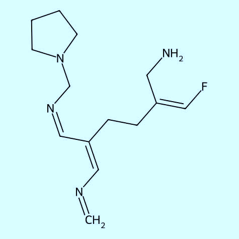 C=N/C=C(\C=N/CN1CCCC1)CC/C(=C/F)CN